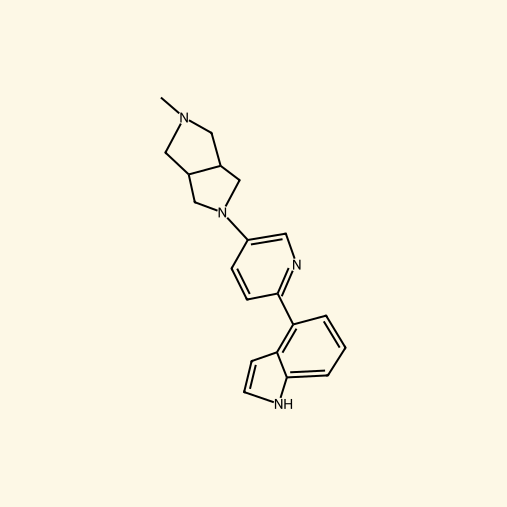 CN1CC2CN(c3ccc(-c4cccc5[nH]ccc45)nc3)CC2C1